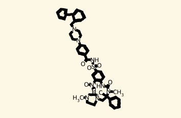 CN1CCN(CC(C)(c2ccccc2)N(C)C(=O)Nc2ccc(S(=O)(=O)NC(=O)c3ccc(N4CCN(Cc5ccccc5-c5ccccc5)CC4)cc3)cc2[N+](=O)[O-])CC1